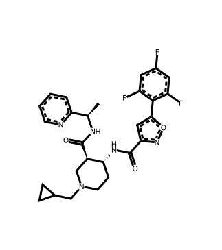 C[C@@H](NC(=O)[C@@H]1CN(CC2CC2)CC[C@H]1NC(=O)c1cc(-c2c(F)cc(F)cc2F)on1)c1ccccn1